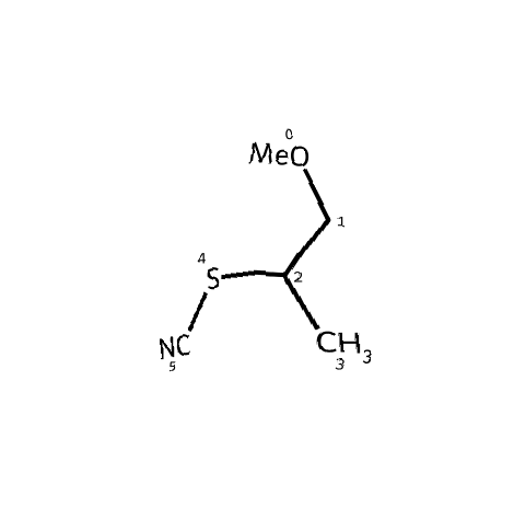 COCC(C)SC#N